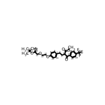 COC(=O)C(CCc1ccc(OCCOCC(=O)OC(C)(C)C)cc1)C(=O)c1ccc(C(F)(F)F)cc1